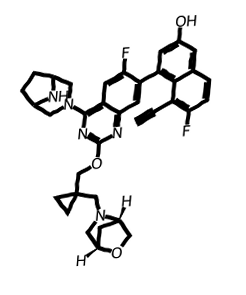 C#Cc1c(F)ccc2cc(O)cc(-c3cc4nc(OCC5(CN6C[C@@H]7C[C@H]6CO7)CC5)nc(N5CC6CCC(C5)N6)c4cc3F)c12